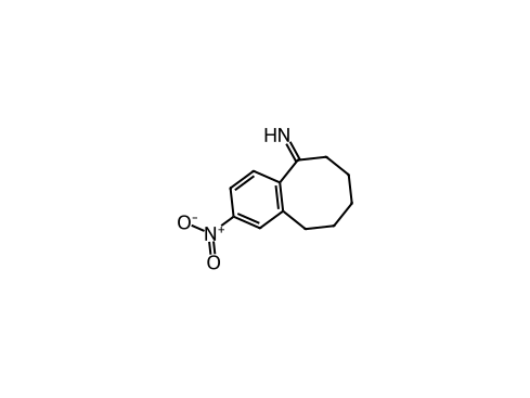 N=C1CCCCCc2cc([N+](=O)[O-])ccc21